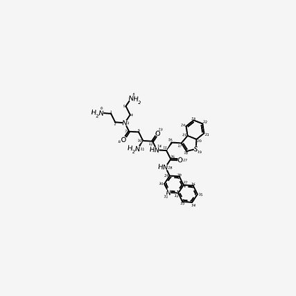 NCCN(CCN)C(=O)C[C@H](N)C(=O)N[C@@H](CC1=CSC2C=CC=CC12)C(=O)Nc1cnc2ccccc2c1